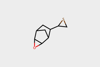 C1SC1C1CC2CC1C1OC21